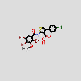 COc1c(Br)c(Br)cc(C(=O)Nc2scc(-c3ccc(Cl)cc3)c2C(=O)O)c1Br